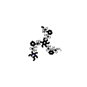 C=C(CC)/C(CC)=C(CC)\C(CNC(=O)Nc1ccccc1NC(=O)NCc1c(CC)c(CNC(=O)Nc2ccccc2NC(N)=O)c(CC)c(CNC(=O)Nc2ccccc2NC(=O)NCC)c1CC)=C(/C)CC